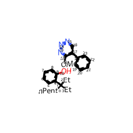 CCCCCC(CC)(CC)c1ccccc1O.COc1nnncc1-c1ccccc1